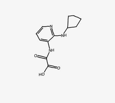 O=C(O)C(=O)Nc1cccnc1NC1CCCC1